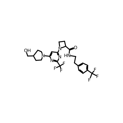 O=C(NCCc1ccc(C(F)(F)F)cc1)C1CCN1c1cc(N2CCC(CO)CC2)nc(C(F)(F)F)n1